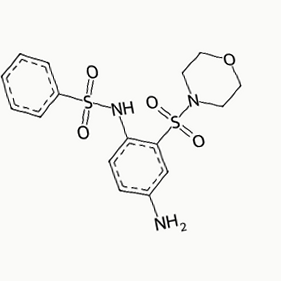 Nc1ccc(NS(=O)(=O)c2ccccc2)c(S(=O)(=O)N2CCOCC2)c1